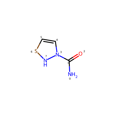 NC(=O)N1C=CSN1